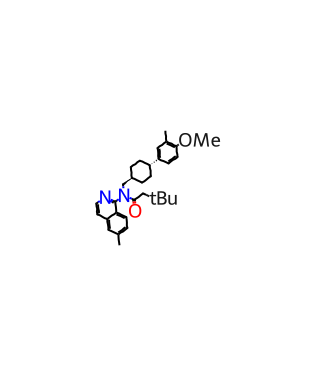 COc1ccc([C@H]2CC[C@H](CN(C(=O)CC(C)(C)C)c3nccc4cc(C)ccc34)CC2)cc1C